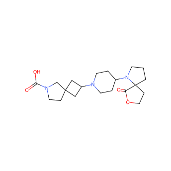 O=C(O)N1CCC2(CC(N3CCC(N4CCCC45CCOC5=O)CC3)C2)C1